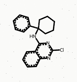 Clc1nc(NC2(c3ccccc3)CCCCC2)c2ccccc2n1